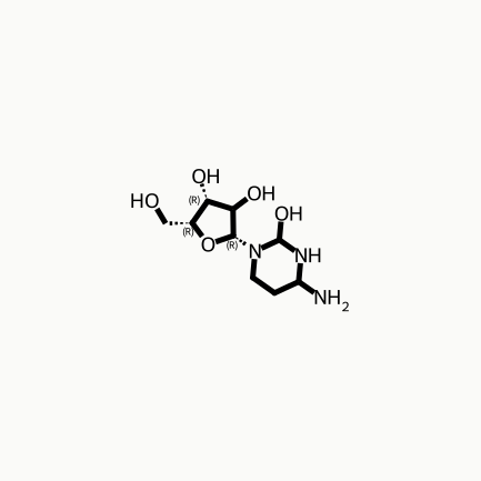 NC1CCN([C@@H]2O[C@H](CO)[C@H](O)C2O)C(O)N1